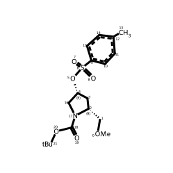 COC[C@H]1C[C@@H](OS(=O)(=O)c2ccc(C)cc2)CN1C(=O)OC(C)(C)C